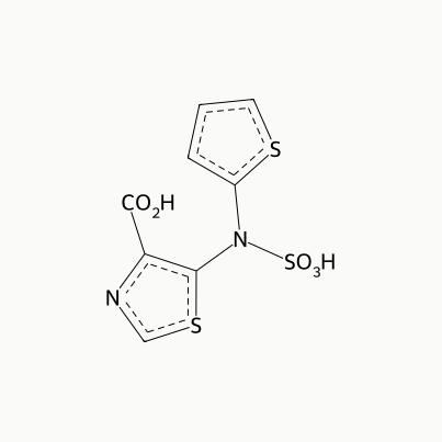 O=C(O)c1ncsc1N(c1cccs1)S(=O)(=O)O